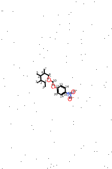 CCC(C)C(C)C(C)COCOc1ccc([N+](=O)[O-])cc1